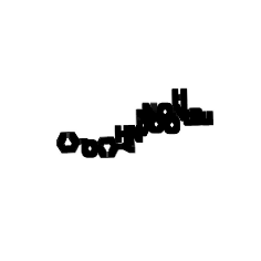 CC(C)(C)NC(=O)Oc1nnc(CN[C@@H]2C[C@H]2c2ccc(OCc3ccccc3)cc2)o1